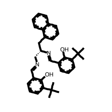 CC(C)(C)c1cccc(C=NC[C@H](Cc2cccc3ccccc23)N=Cc2cccc(C(C)(C)C)c2O)c1O